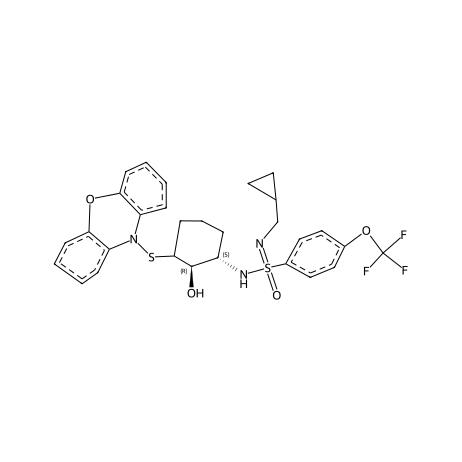 O=S(=NCC1CC1)(N[C@H]1CCCC(SN2c3ccccc3Oc3ccccc32)[C@@H]1O)c1ccc(OC(F)(F)F)cc1